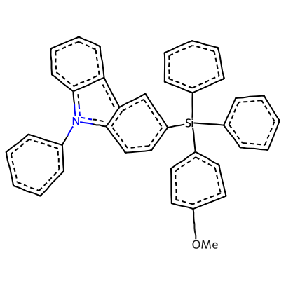 COc1ccc([Si](c2ccccc2)(c2ccccc2)c2ccc3c(c2)c2ccccc2n3-c2ccccc2)cc1